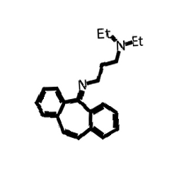 CCN(CC)CCCN=c1c2ccccc2ccc2ccccc12